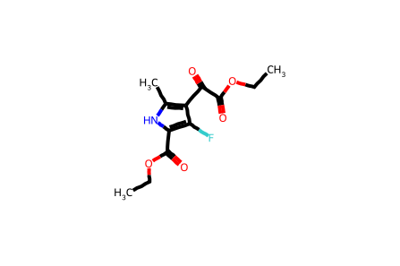 CCOC(=O)C(=O)c1c(C)[nH]c(C(=O)OCC)c1F